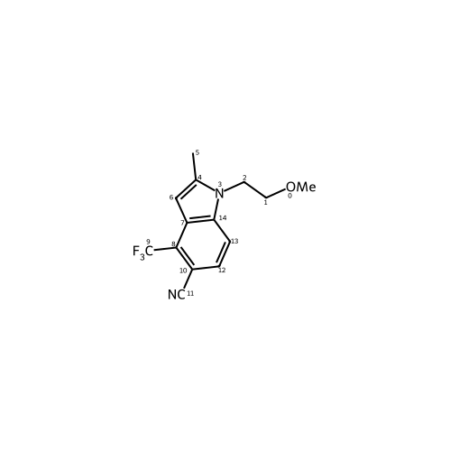 COCCn1c(C)cc2c(C(F)(F)F)c(C#N)ccc21